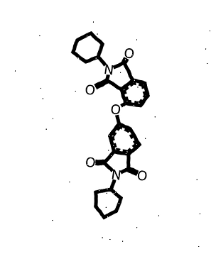 O=C1c2ccc(Oc3cccc4c3C(=O)N(C3CCCCC3)C4=O)cc2C(=O)N1C1CCCCC1